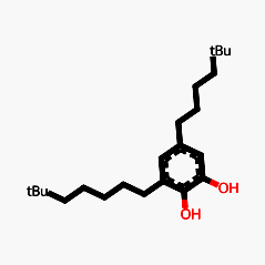 CC(C)(C)CCCCCc1cc(CCCCC(C)(C)C)cc(O)c1O